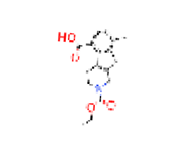 CCOC(=O)N1CCC2=C(Cc3c(C)ccc(C(=O)O)c32)C1